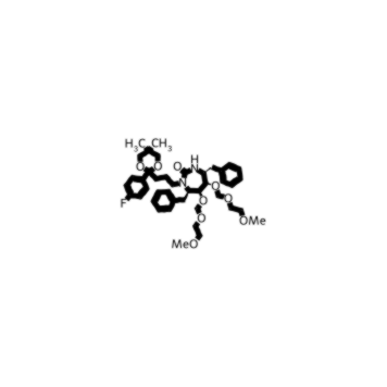 COCCOCO[C@@H]1[C@@H](OCOCCOC)[C@@H](Cc2ccccc2)NC(=O)N(CCCC2(c3ccc(F)cc3)OCC(C)(C)CO2)[C@@H]1Cc1ccccc1